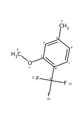 COc1cc(C)ccc1C(F)(F)F